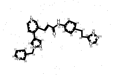 O=C(/C=C/c1cnccc1-c1cnn(Cc2cccnc2)c1)Nc1ccc(CCc2nnco2)cc1